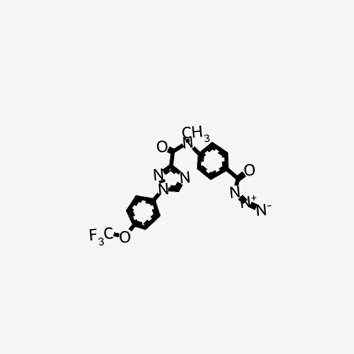 CN(C(=O)c1ncn(-c2ccc(OC(F)(F)F)cc2)n1)c1ccc(C(=O)N=[N+]=[N-])cc1